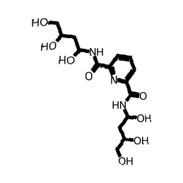 O=C(NC(O)CC(O)CO)c1cccc(C(=O)NC(O)CC(O)CO)n1